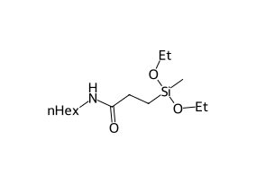 CCCCCCNC(=O)CC[Si](C)(OCC)OCC